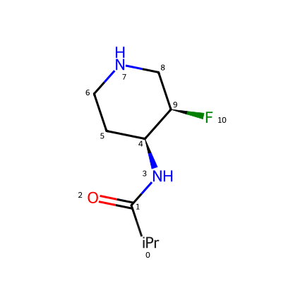 CC(C)C(=O)N[C@H]1CCNC[C@H]1F